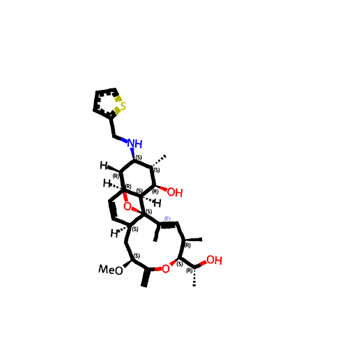 C=C1O[C@H]([C@@H](C)O)[C@H](C)/C=C(\C)[C@]23O[C@@H]4[C@H](C=C[C@@H]2C[C@@H]1OC)[C@H]3[C@H](O)[C@@H](C)[C@@H]4NCc1cccs1